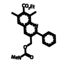 CCOC(=O)c1c(C)cc2cc(COC(=O)NC)c(-c3ccccc3)nc2c1C